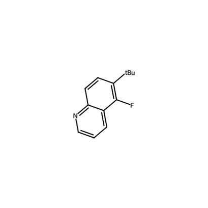 CC(C)(C)c1ccc2ncccc2c1F